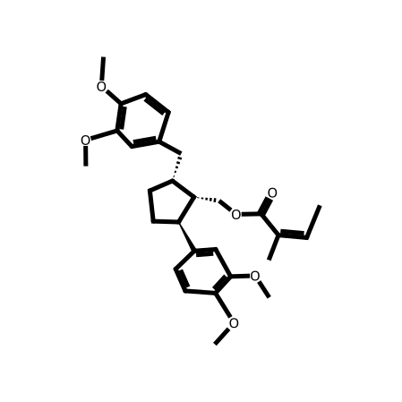 C/C=C(/C)C(=O)OC[C@H]1[C@@H](Cc2ccc(OC)c(OC)c2)CC[C@@H]1c1ccc(OC)c(OC)c1